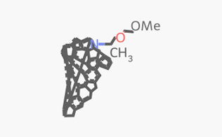 COCCOCCN1CC2C3=c4c5c6c7c(cc8cc9c%10c%11c%12c%13c(cc%14c%15c(c4c4c5c5c7c8c%10c5c%12c4c%15%13)=C(C3)C%14)=CC%11C9)CC62C1c1ccccc1C